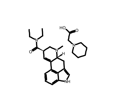 CCN(CC)C(=O)[C@@H]1C=C2c3cccc4[nH]cc(c34)C[C@H]2N(C)C1.O=C(O)CN1CCCCC1